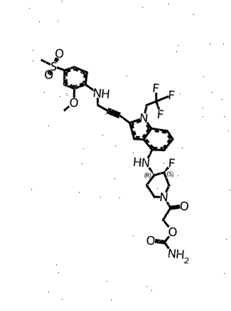 COc1cc(S(C)(=O)=O)ccc1NCC#Cc1cc2c(N[C@@H]3CCN(C(=O)COC(N)=O)C[C@@H]3F)cccc2n1CC(F)(F)F